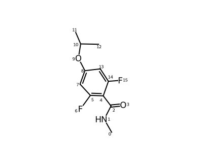 CNC(=O)c1c(F)cc(OC(C)C)cc1F